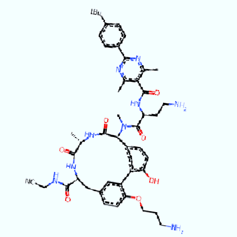 Cc1nc(-c2ccc(C(C)(C)C)cc2)nc(C)c1C(=O)N[C@@H](CCN)C(=O)N(C)[C@@H]1C(=O)N[C@@H](C)C(=O)N[C@H](C(=O)NCC#N)Cc2ccc(OCCCN)c(c2)-c2cc1ccc2O